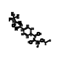 CCON(C)C(=O)C(=O)c1ccc(-c2noc(C(F)(F)F)n2)cc1